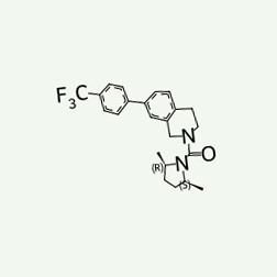 C[C@@H]1CC[C@H](C)N1C(=O)N1CCc2ccc(-c3ccc(C(F)(F)F)cc3)cc2C1